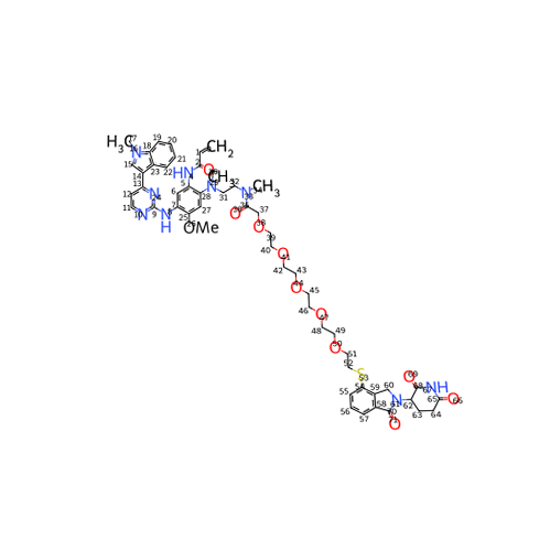 C=CC(=O)Nc1cc(Nc2nccc(-c3cn(C)c4ccccc34)n2)c(OC)cc1N(C)CCN(C)C(=O)COCCOCCOCCOCCOCCSc1cccc2c1CN(C1CCC(=O)NC1=O)C2=O